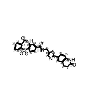 O=C1CCc2cc(-c3ncc(CNC(=O)c4ccc5c(c4)NC(=O)c4ccccc4S5(=O)=O)s3)ccc2N1